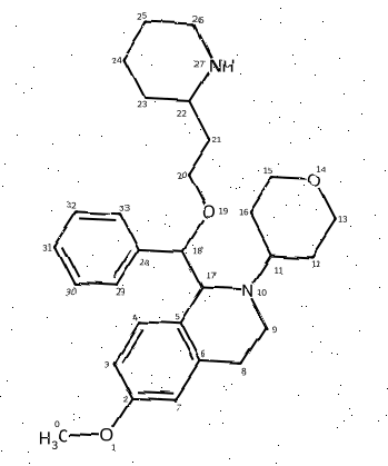 COc1ccc2c(c1)CCN(C1CCOCC1)C2C(OCCC1CCCCN1)c1ccccc1